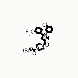 C[C@@H]1CN(C(=O)OC(C)(C)C)CCN1C(=O)c1cc(-c2cccc(C(F)(F)F)c2)n(-c2cccc(Cl)c2)n1